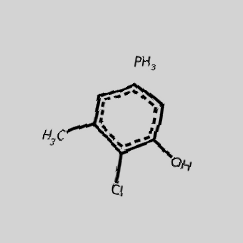 Cc1cccc(O)c1Cl.P